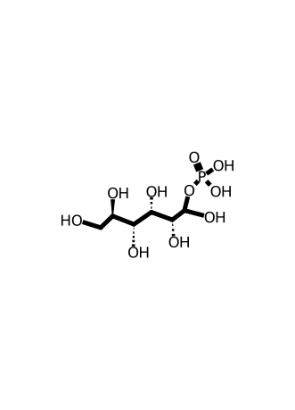 O=P(O)(O)OC(O)[C@H](O)[C@@H](O)[C@H](O)[C@H](O)CO